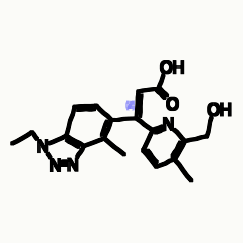 CCn1nnc2c(C)c(/C(=C/C(=O)O)c3ccc(C)c(CO)n3)ccc21